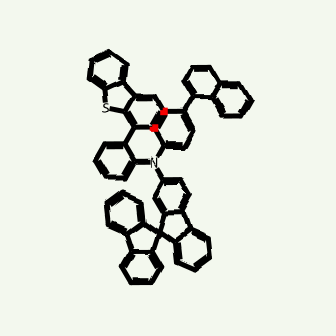 c1ccc(N(c2ccc(-c3cccc4ccccc34)cc2)c2ccc3c(c2)C2(c4ccccc4-c4ccccc42)c2ccccc2-3)c(-c2cccc3c2sc2ccccc23)c1